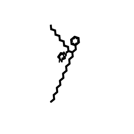 CCCCCCCCCCCCCCC(Cc1ccccc1)C(CCCCCCCCC)n1ccnc1